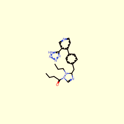 CCCC(=O)N1C=NC(Cc2ccc(-c3ccncc3-c3nnn[nH]3)cc2)N1CCC